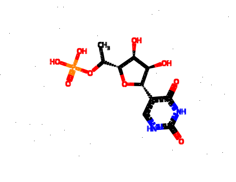 CC(OP(=O)(O)O)[C@H]1O[C@@H](c2c[nH]c(=O)[nH]c2=O)[C@H](O)[C@@H]1O